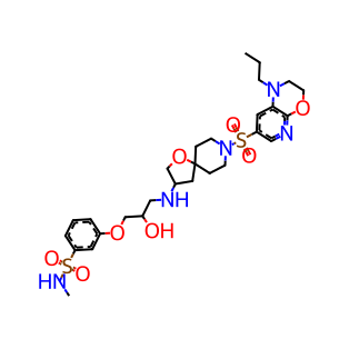 CCCN1CCOc2ncc(S(=O)(=O)N3CCC4(CC3)CC(NCC(O)COc3cccc(S(=O)(=O)NC)c3)CO4)cc21